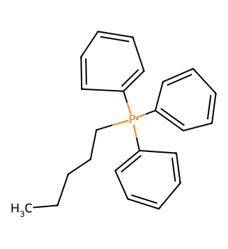 CCCCC[P](c1ccccc1)(c1ccccc1)c1ccccc1